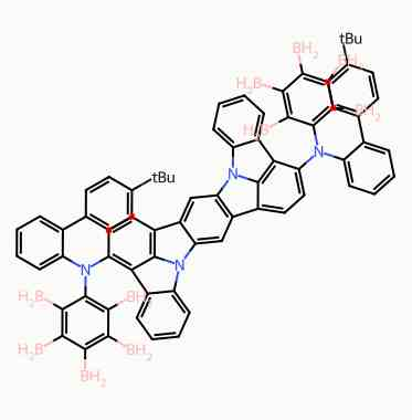 Bc1c(B)c(B)c(N(c2ccccc2-c2ccc(C(C)(C)C)cc2)c2ccc3c4cc5c(cc4n4c6ccccc6c2c34)c2ccc(N(c3ccccc3-c3ccc(C(C)(C)C)cc3)c3c(B)c(B)c(B)c(B)c3B)c3c4ccccc4n5c23)c(B)c1B